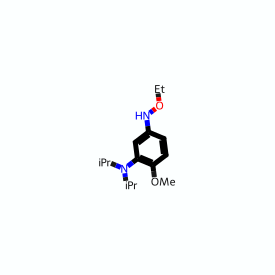 CCONc1ccc(OC)c(N(C(C)C)C(C)C)c1